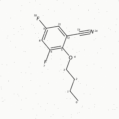 CCCCOc1c(F)cc(F)cc1C#N